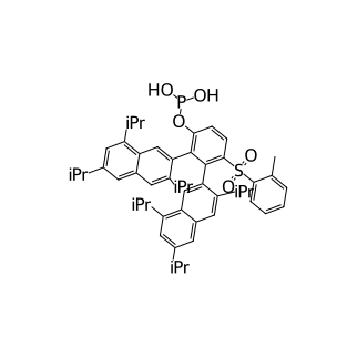 Cc1ccccc1S(=O)(=O)c1ccc(OP(O)O)c(-c2cc3c(C(C)C)cc(C(C)C)cc3cc2C(C)C)c1-c1cc2c(C(C)C)cc(C(C)C)cc2cc1C(C)C